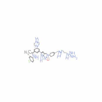 C=C(Nc1ccc(F)cc1)c1cc(-c2cc3cn(-c4ccc(CNCCCNC(=N)N)cc4)c(=O)nc3[nH]2)cc(N2CCNCC2)c1